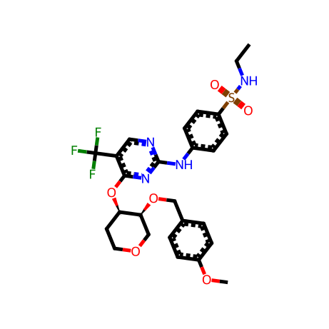 CCNS(=O)(=O)c1ccc(Nc2ncc(C(F)(F)F)c(O[C@@H]3CCOC[C@@H]3OCc3ccc(OC)cc3)n2)cc1